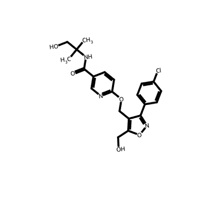 CC(C)(CO)NC(=O)c1ccc(OCc2c(-c3ccc(Cl)cc3)noc2CO)nc1